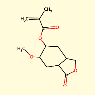 C=C(C)C(=O)OC1CC2COC(=O)C2CC1OC